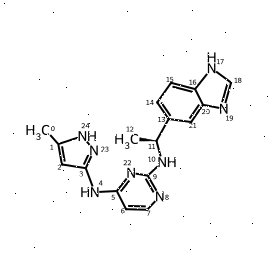 Cc1cc(Nc2ccnc(N[C@@H](C)c3ccc4[nH]cnc4c3)n2)n[nH]1